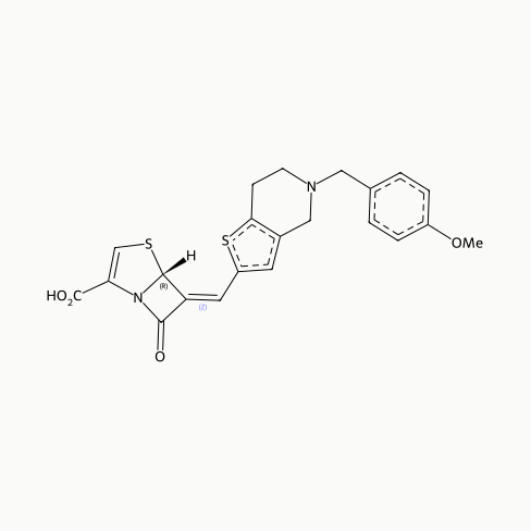 COc1ccc(CN2CCc3sc(/C=C4/C(=O)N5C(C(=O)O)=CS[C@H]45)cc3C2)cc1